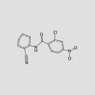 N#Cc1ccccc1NC(=O)c1ccc([N+](=O)[O-])cc1Cl